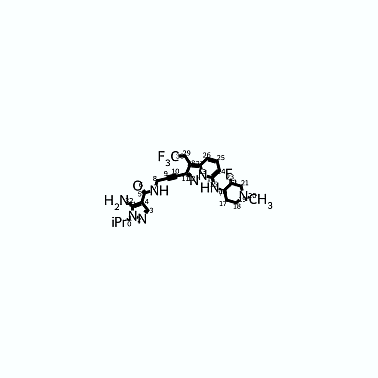 CC(C)n1ncc(C(=O)NCC#Cc2nn3c(N[C@@H]4CCN(C)C[C@@H]4F)cccc3c2CC(F)(F)F)c1N